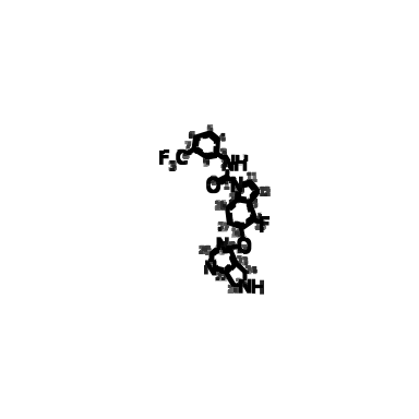 O=C(Nc1cccc(C(F)(F)F)c1)n1ccc2c(F)c(Oc3ncnc4c3CNC4)ccc21